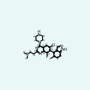 Cc1ccc2[nH]ncc2c1-c1c(Cl)cc2c(N3CCNCC3)nc(CCN(C)C)nc2c1F